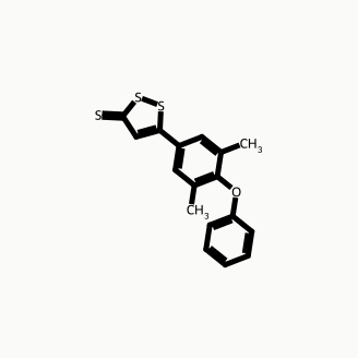 Cc1cc(-c2cc(=S)ss2)cc(C)c1Oc1ccccc1